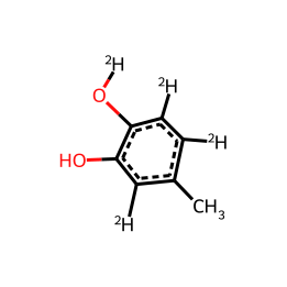 [2H]Oc1c([2H])c([2H])c(C)c([2H])c1O